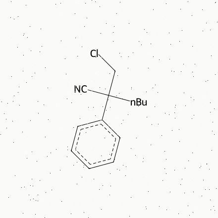 CCCCC(C#N)(CCl)c1ccccc1